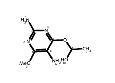 COc1nc(N)nc(OC(C)O)c1N